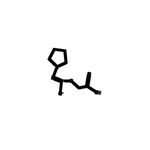 O=C(O)CO/[N+]([O-])=N\N1CCCC1